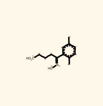 Cc1ccc(C)c(C(CCCC(=O)O)=NO)c1